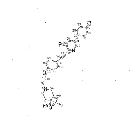 OC1(C(F)(F)F)CCN(CCOc2ccc(C#Cc3ncc(-c4ccc(Cl)cc4)cc3F)cc2)CC1